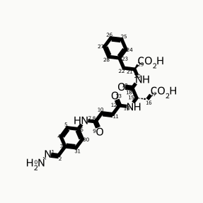 NN=Cc1ccc(NC(=O)C=CC(=O)N[C@@H](CC(=O)O)C(=O)N[C@@H](Cc2ccccc2)C(=O)O)cc1